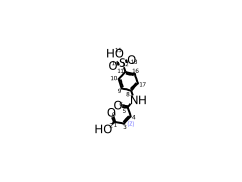 O=C(O)/C=C\C(=O)Nc1ccc(S(=O)(=O)O)cc1